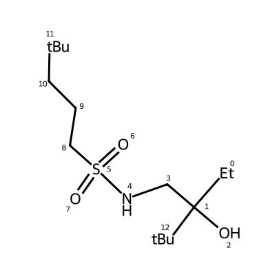 CCC(O)(CNS(=O)(=O)CCCC(C)(C)C)C(C)(C)C